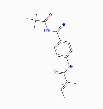 C/C=C(\C)C(=O)Nc1ccc(C(=N)NC(=O)C(C)(C)C)cc1